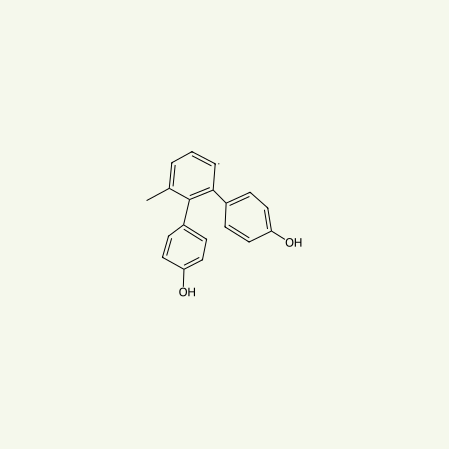 Cc1cc[c]c(-c2ccc(O)cc2)c1-c1ccc(O)cc1